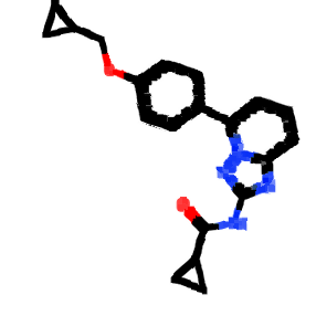 O=C(Nc1nc2cccc(-c3ccc(OCC4CC4)cc3)n2n1)C1CC1